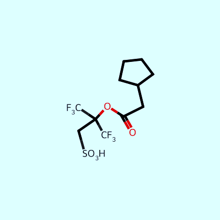 O=C(CC1CCCC1)OC(CS(=O)(=O)O)(C(F)(F)F)C(F)(F)F